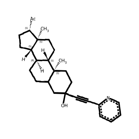 CC(=O)[C@H]1CC[C@H]2[C@@H]3CCC4CC(O)(C#Cc5ccccn5)CC[C@]4(C)[C@H]3CC[C@]12C